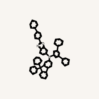 c1ccc(-c2ccc(-c3nc4ccc(N(c5cc(-c6ccccc6)cc(-c6ccccc6)c5)c5ccc6c(c5)C(c5ccccc5)(c5ccccc5)c5ccccc5-6)cc4o3)cc2)cc1